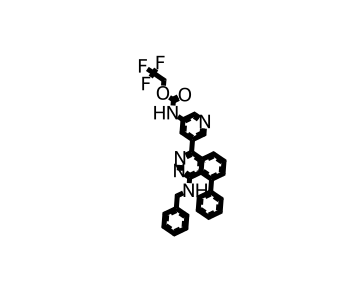 O=C(Nc1cncc(-c2nnc(NCc3ccccc3)c3c(-c4ccccc4)cccc23)c1)OCC(F)(F)F